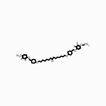 CCOc1ccc(OCC2CCC(OCCCCCCCC(=O)CCCCCCCOC3CCC(COc4ccc(C)c(F)c4F)CC3)CC2)c(F)c1F